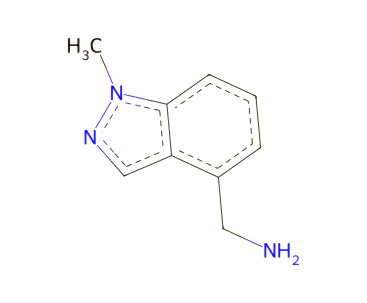 Cn1ncc2c(CN)cccc21